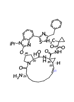 CC(C)n1c(O[C@@H]2C[C@H]3C(=O)N[C@]4(C(=O)NS(=O)(=O)C5(C)CC5)C[C@H]4/C=C\CCCCC[C@H](N)C(=O)N3C2)nc2c(-c3nc(Cc4ccccc4)cs3)cccc21